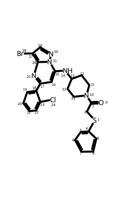 O=C(CSc1ccccc1)N1CCC(Nc2cc(-c3ccccc3Cl)nc3c(Br)cnn23)CC1